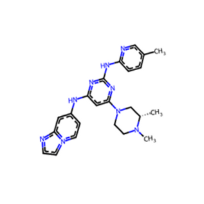 Cc1ccc(Nc2nc(Nc3ccn4ccnc4c3)cc(N3CCN(C)[C@@H](C)C3)n2)nc1